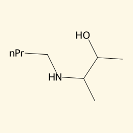 CCCCNC(C)C(C)O